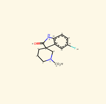 O=C(O)N1CCCC2(C1)C(=O)Nc1ccc(F)cc12